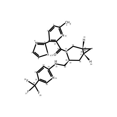 Cc1ccc(-c2nccs2)c(C(=O)N2C[C@@H]3C[C@@H]3C[C@H]2CNc2ccc(C(F)(F)F)cn2)n1